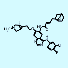 CN1CC2C(CCOc3cc4ncnc(Nc5ccc(F)c(Cl)c5)c4cc3NC(=O)/C=C/CN3CC4CCC3CC4)[C@H]2C1